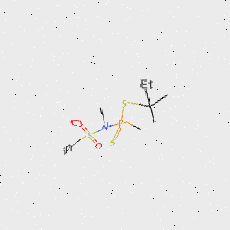 CCC(C)(C)SP(C)(=S)N(C)S(=O)(=O)C(C)C